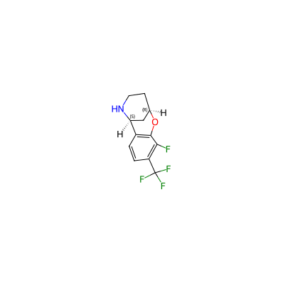 Fc1c(C(F)(F)F)ccc2c1O[C@@H]1CCN[C@H]2C1